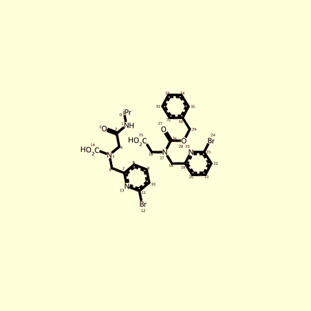 CC(C)NC(=O)CN(Cc1cccc(Br)n1)C(=O)O.O=C(O)CN(Cc1cccc(Br)n1)C(=O)OCc1ccccc1